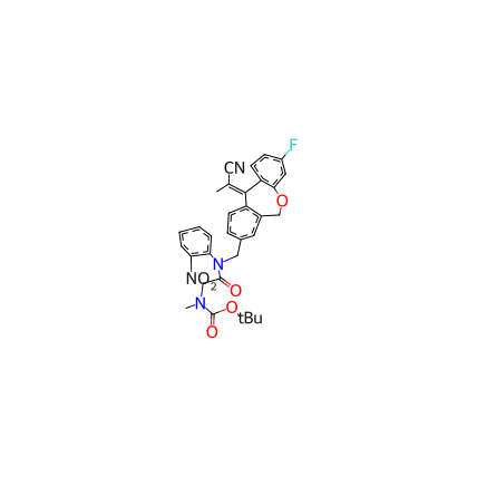 CC(C#N)=C1c2ccc(CN(C(=O)CN(C)C(=O)OC(C)(C)C)c3ccccc3[N+](=O)[O-])cc2COc2cc(F)ccc21